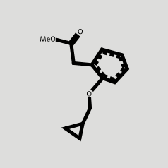 COC(=O)Cc1ccccc1OCC1CC1